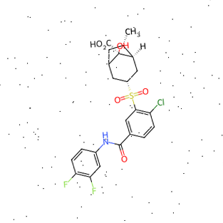 C[C@H]1CC2C[C@@H](S(=O)(=O)c3cc(C(=O)Nc4ccc(F)c(F)c4)ccc3Cl)C[C@H]1[C@@]2(O)C(=O)O